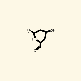 NC1CC(O)CC(C=O)N1